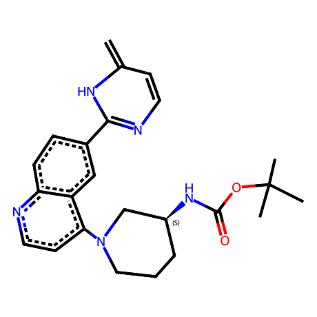 C=C1C=CN=C(c2ccc3nccc(N4CCC[C@H](NC(=O)OC(C)(C)C)C4)c3c2)N1